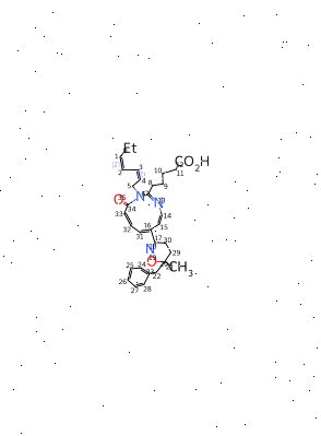 CC/C=C\C=C/Cn1c(CCCCC(=O)O)nccc(C2=NOC(C)(Cc3ccccc3)CC2)cccc1=O